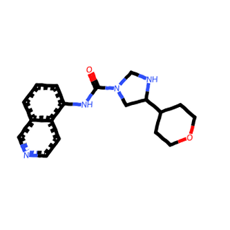 O=C(Nc1cccc2cnccc12)N1CNC(C2CCOCC2)C1